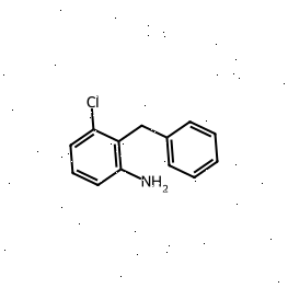 Nc1cccc(Cl)c1Cc1ccccc1